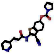 N#Cc1c(NC(=O)/C=C/c2cccnc2)sc2c1CCC(OC(=O)N1CC=CC1)C2